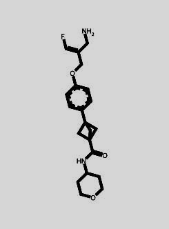 NCC(=CF)COc1ccc(C23CC(C(=O)NC4CCOCC4)(C2)C3)cc1